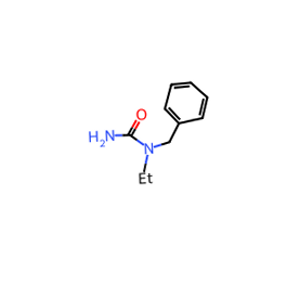 [CH2]CN(Cc1ccccc1)C(N)=O